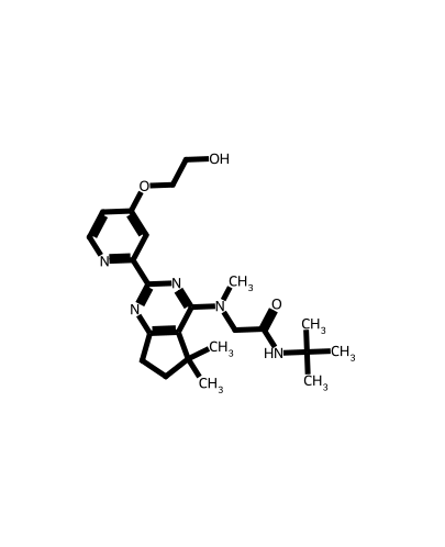 CN(CC(=O)NC(C)(C)C)c1nc(-c2cc(OCCO)ccn2)nc2c1C(C)(C)CC2